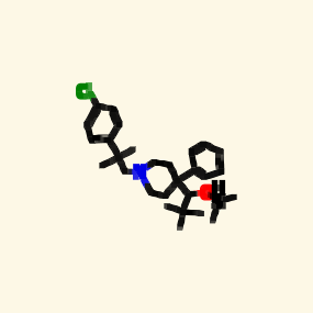 C[SiH](C)OC(C(C)(C)C)C1(c2ccccc2)CCN(CC(C)(C)c2ccc(Cl)cc2)CC1